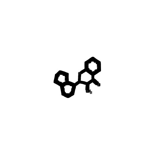 C=C1C(=O)c2ccccc2OC1c1cccc2ccccc12